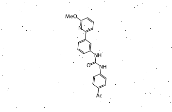 COc1cccc(-c2cccc(NC(=O)Nc3ccc(C(C)=O)cc3)c2)n1